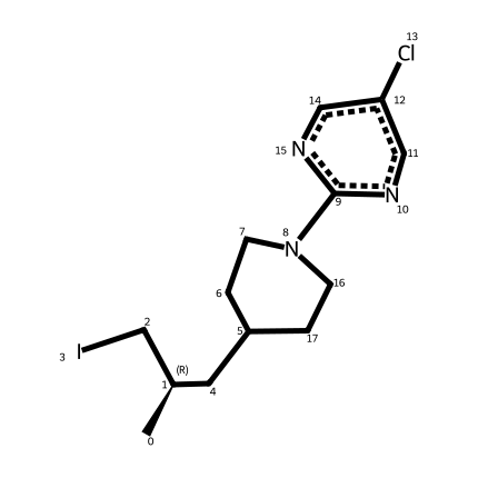 C[C@@H](CI)CC1CCN(c2ncc(Cl)cn2)CC1